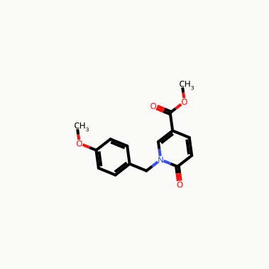 COC(=O)c1ccc(=O)n(Cc2ccc(OC)cc2)c1